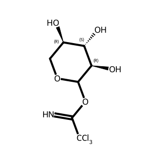 N=C(OC1OC[C@@H](O)[C@H](O)[C@H]1O)C(Cl)(Cl)Cl